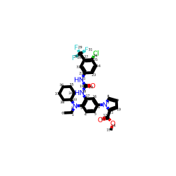 CCN(c1ccc(-n2cccc2C(=O)OC)cc1NC(=O)Nc1ccc(Cl)c(C(F)(F)F)c1)C1CCCCC1